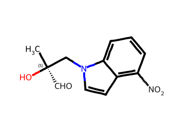 C[C@@](O)(C=O)Cn1ccc2c([N+](=O)[O-])cccc21